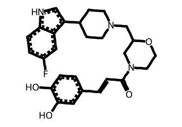 O=C(/C=C/c1ccc(O)c(O)c1)N1CCOC(CN2CCC(c3c[nH]c4ccc(F)cc34)CC2)C1